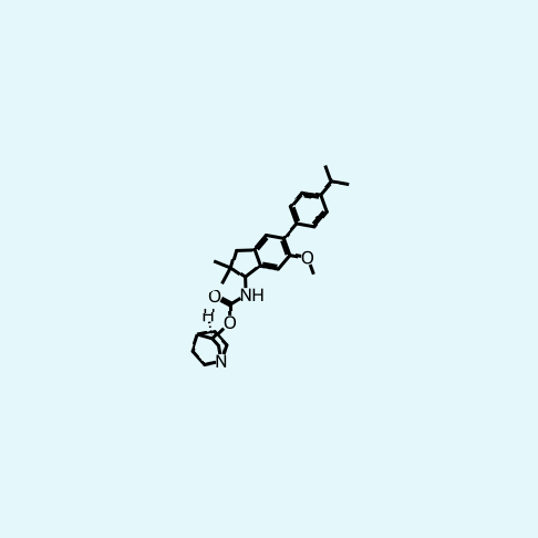 COc1cc2c(cc1-c1ccc(C(C)C)cc1)CC(C)(C)C2NC(=O)O[C@H]1CN2CCC1CC2